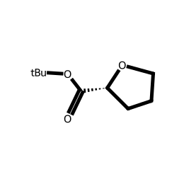 CC(C)(C)OC(=O)[C@H]1CCCO1